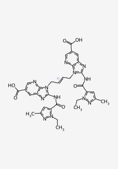 CCn1nc(C)cc1C(=O)Nc1nc2cc(C(=O)O)cnc2n1C/C=C/Cn1c(NC(=O)c2cc(C)nn2CC)nc2cc(C(=O)O)cnc21